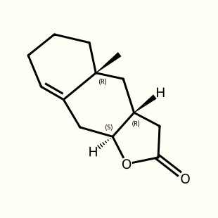 C[C@]12CCCC=C1C[C@@H]1OC(=O)C[C@H]1C2